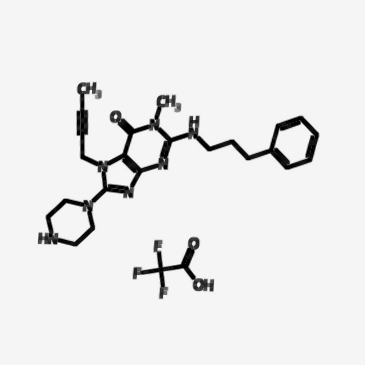 CC#CCn1c(N2CCNCC2)nc2nc(NCCCc3ccccc3)n(C)c(=O)c21.O=C(O)C(F)(F)F